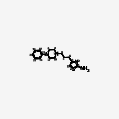 Nc1nc(CCCN2CCN(c3ccccc3)CC2)cs1